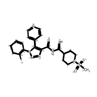 CS(=O)(=O)N1CCC(C(=N)NC(=O)c2nnn(C3=C(F)CCC=C3)c2-c2ccncc2)CC1